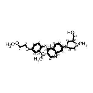 COCCOc1ccc(Nc2ccnc3cc(N4CCN(C)C(CO)C4)ccc23)c(OC)c1